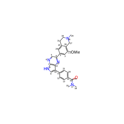 COc1cc(-c2cnc3[nH]cc(-c4ccc(C(=O)N(C)C)cc4)c3n2)cc2c1CN(C)CC2